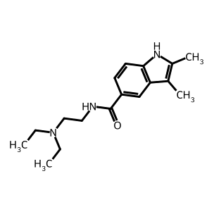 CCN(CC)CCNC(=O)c1ccc2[nH]c(C)c(C)c2c1